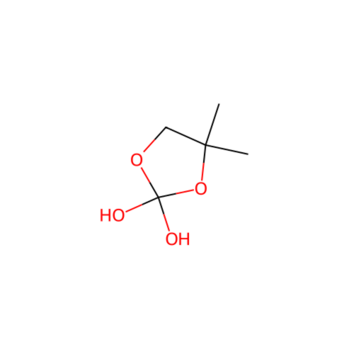 CC1(C)COC(O)(O)O1